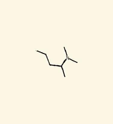 [CH2]CCC(C)N(C)C